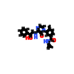 Cc1ccc(C(=O)NC2CC2)cc1-n1ccnc(NC[C@@H](O)c2ccccc2)c1=O